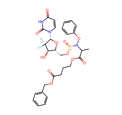 CC(C(=O)OCCCC(=O)OCc1ccccc1)N(Oc1ccccc1)[PH](=O)OC[C@H]1O[C@@H](n2ccc(=O)[nH]c2=O)[C@](C)(F)[C@@H]1O